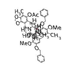 COc1cc2c(cc1OCc1ccccc1)CCN[C@]21CS[C@@H]2c3c(OC(C)=O)c(C)c4c(c3[C@H](COC1=O)N1C2[C@H]2c3c(cc(C)c(OC)c3OCc3ccccc3)C[C@@H]([C@@H]1O)N2C)OCO4